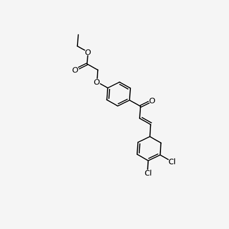 CCOC(=O)COc1ccc(C(=O)C=CC2C=CC(Cl)=C(Cl)C2)cc1